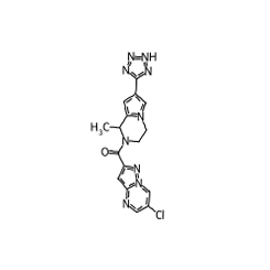 CC1c2cc(-c3nn[nH]n3)cn2CCN1C(=O)c1cc2ncc(Cl)cn2n1